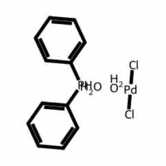 O.O.[Cl][Pd][Cl].c1ccc(Pc2ccccc2)cc1